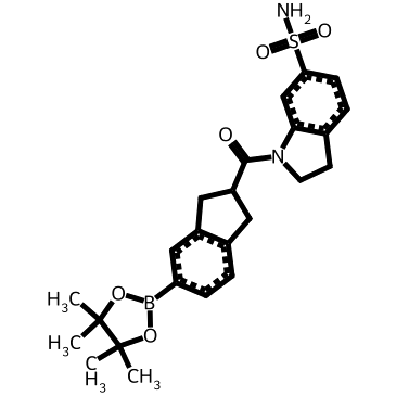 CC1(C)OB(c2ccc3c(c2)CC(C(=O)N2CCc4ccc(S(N)(=O)=O)cc42)C3)OC1(C)C